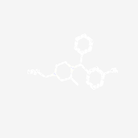 CC1CN(CC(=O)O)CCN1C(c1ccccc1)c1cccc(C(F)(F)F)c1